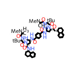 CN[C@@H](C)C(=O)N[C@H](C(=O)N1CC(NC(=O)c2ccc(C(=O)N[C@H]3C[C@@H](C(=O)N[C@@H]4CCCc5ccccc54)N(C(=O)[C@@H](NC(=O)[C@H](C)NC)C(C)(C)C)C3)cc2)C[C@H]1C(=O)C[C@@H]1CCCc2ccccc21)C(C)(C)C